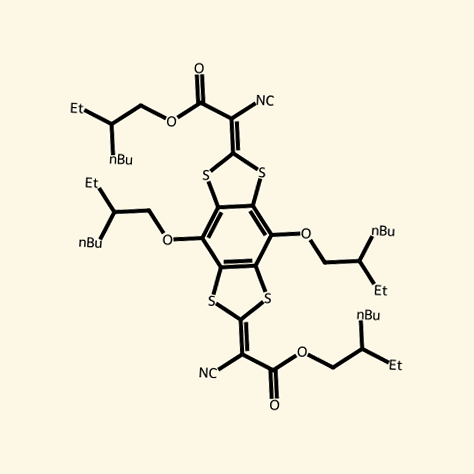 [C-]#[N+]C(C(=O)OCC(CC)CCCC)=C1Sc2c(OCC(CC)CCCC)c3c(c(OCC(CC)CCCC)c2S1)SC(=C(C#N)C(=O)OCC(CC)CCCC)S3